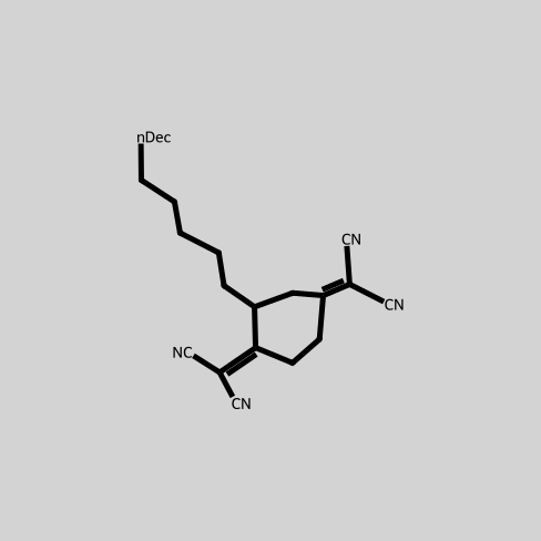 CCCCCCCCCCCCCCCC1CC(=C(C#N)C#N)CCC1=C(C#N)C#N